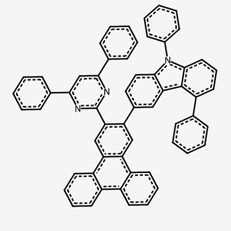 c1ccc(-c2cc(-c3ccccc3)nc(-c3cc4c5ccccc5c5ccccc5c4cc3-c3ccc4c(c3)c3c(-c5ccccc5)cccc3n4-c3ccccc3)n2)cc1